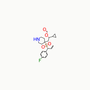 C=CC(c1ccc(F)cc1)S(=O)(=O)C1(CC(OC=O)C2CC2)CCNCC1